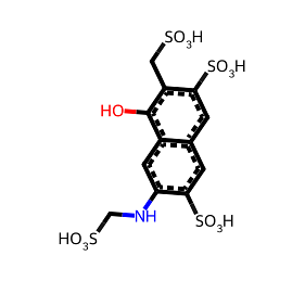 O=S(=O)(O)CNc1cc2c(O)c(CS(=O)(=O)O)c(S(=O)(=O)O)cc2cc1S(=O)(=O)O